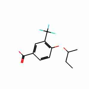 CCC(C)Oc1ccc(C(=O)O)cc1C(F)(F)F